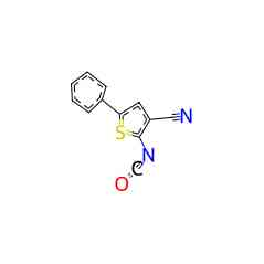 N#Cc1cc(-c2ccccc2)sc1N=C=O